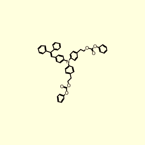 O=C(OCCc1ccc(N(c2ccc(C=C(c3ccccc3)c3ccccc3)cc2)c2ccc(CCOC(=O)Oc3ccccc3)cc2)cc1)Oc1ccccc1